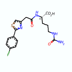 NC(=O)NCCC[C@H](NC(=O)Cc1csc(-c2ccc(F)cc2)n1)C(=O)O